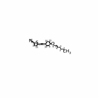 CCCCC=CCOc1ccc(C#Cc2ccc(C#N)s2)cc1